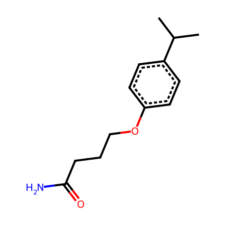 CC(C)c1ccc(OCCCC(N)=O)cc1